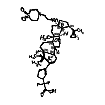 C=C(C)[C@@H]1CC[C@]2(NCCN3CCS(=O)(=O)CC3)CC[C@]3(C)[C@H](CC[C@@H]4[C@@]5(C)CC=C(C6=CC(C(F)(F)C(=O)O)CC6)C(C)(C)[C@@H]5CC[C@]43C)[C@@H]12